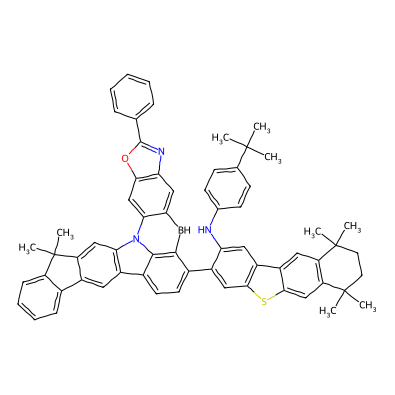 CC(C)(C)c1ccc(Nc2cc3c(cc2-c2ccc4c5cc6c(cc5n5c4c2Bc2cc4nc(-c7ccccc7)oc4cc2-5)C(C)(C)c2ccccc2-6)sc2cc4c(cc23)C(C)(C)CCC4(C)C)cc1